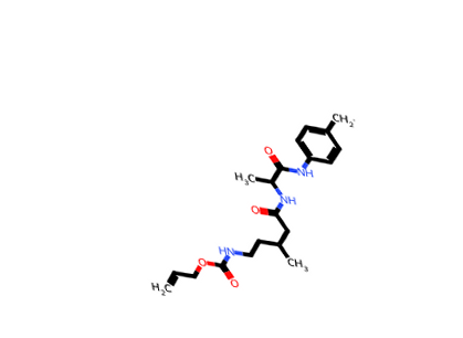 [CH2]c1ccc(NC(=O)C(C)NC(=O)CC(C)CCNC(=O)OCC=C)cc1